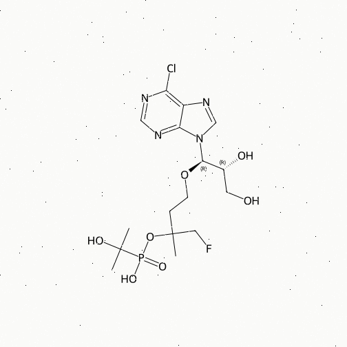 CC(CF)(CCO[C@H]([C@H](O)CO)n1cnc2c(Cl)ncnc21)OP(=O)(O)C(C)(C)O